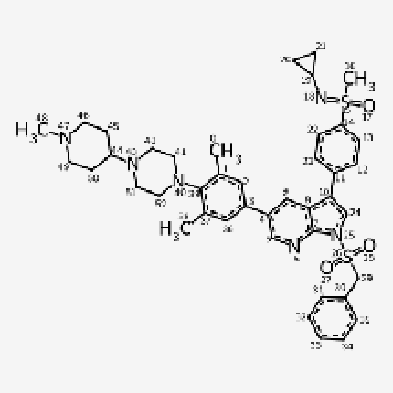 Cc1cc(-c2cnc3c(c2)c(-c2ccc(S(C)(=O)=NC4CC4)cc2)cn3S(=O)(=O)Cc2ccccc2)cc(C)c1N1CCN(C2CCN(C)CC2)CC1